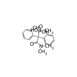 Cc1ccccc1C(C(=O)N(C)C)(c1ccccc1C)P(=O)(O)O